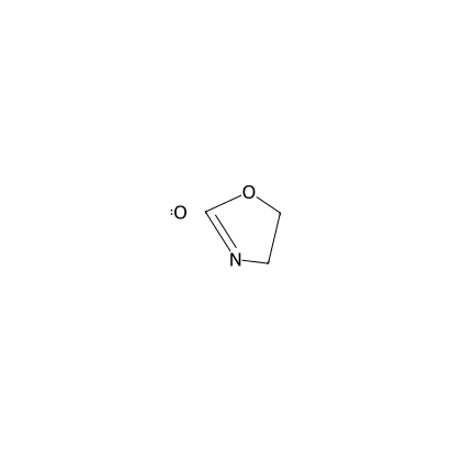 C1=NCCO1.[O]